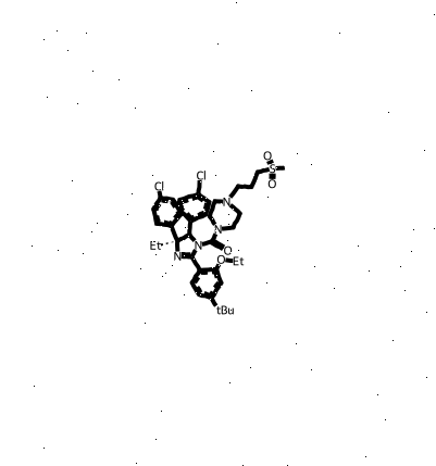 CCOc1cc(C(C)(C)C)ccc1C1=N[C@@](CC)(c2ccc(Cl)cc2)C(c2ccc(Cl)cc2)N1C(=O)N1CCN(CCCS(C)(=O)=O)CC1